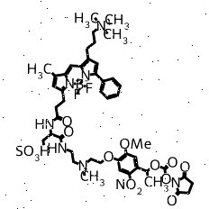 COc1cc(C(C)OC(=O)ON2C(=O)CCC2=O)c([N+](=O)[O-])cc1OCCN(C)CCNC(=O)C(CS(=O)(=O)O)NC(=O)CCC1=[N+]2C(=Cc3c(CCC[N+](C)(C)C)cc(-c4ccccc4)n3[B-]2(F)F)C(C)=C1